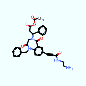 NCCNC(=O)C#Cc1ccc2c(c1)C(=O)N(C(CC(=O)OC(=O)C(F)(F)F)c1ccccc1)CC(=O)N2Cc1ccccc1